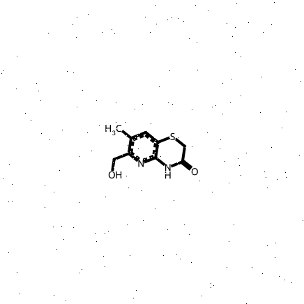 Cc1cc2c(nc1CO)NC(=O)CS2